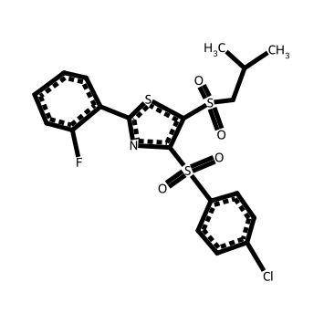 CC(C)CS(=O)(=O)c1sc(-c2ccccc2F)nc1S(=O)(=O)c1ccc(Cl)cc1